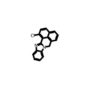 Clc1ccc2cccc3c2c1-c1nc2ccccc2n1C3